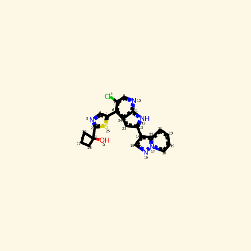 OC1(c2ncc(-c3c(Cl)cnc4[nH]c(-c5cnn6ccccc56)cc34)s2)CCC1